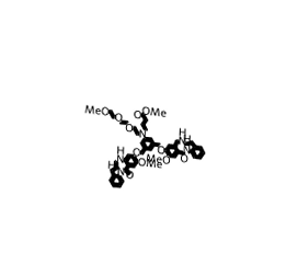 COCCOCCOCCN(CCCC(=O)OC)c1cc(COc2cc3c(cc2OC)C(=O)N2c4ccccc4C[C@H]2NC3)cc(COc2cc3c(cc2OC)C(=O)N2c4ccccc4C[C@H]2CN3)c1